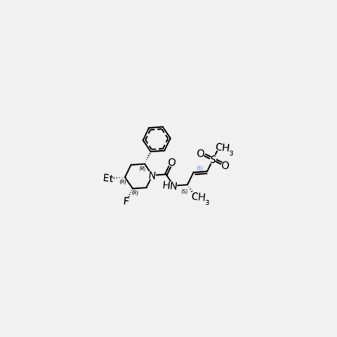 CC[C@@H]1C[C@H](c2ccccc2)N(C(=O)N[C@@H](C)/C=C/S(C)(=O)=O)C[C@@H]1F